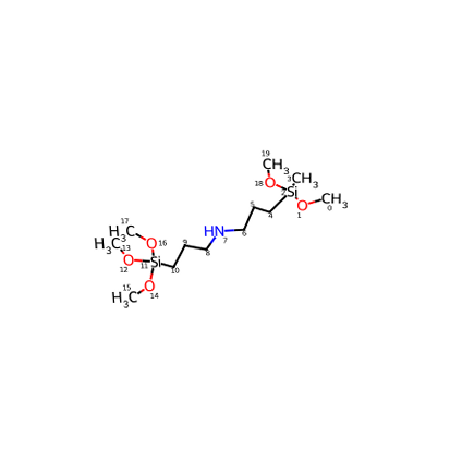 CO[Si](C)(CCCNCCC[Si](OC)(OC)OC)OC